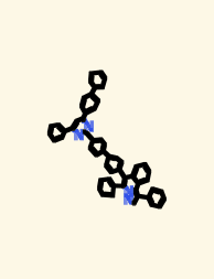 c1ccc(-c2ccc(-c3cc(-c4ccccc4)nc(-c4ccc(-c5ccc(-c6c(-c7ccccc7)n7ncc(-c8ccccc8)c7c7ccccc67)cc5)cc4)n3)cc2)cc1